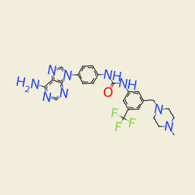 CN1CCN(Cc2cc(NC(=O)Nc3ccc(-n4cnc5c(N)ncnc54)cc3)cc(C(F)(F)F)c2)CC1